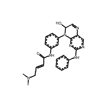 CN(C)C/C=C/C(=O)Nc1cccc(N2c3nc(Nc4ccccc4)ncc3N=CC2O)c1